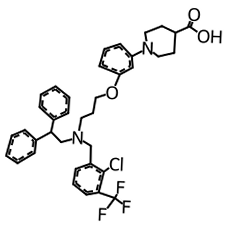 O=C(O)C1CCN(c2cccc(OCCCN(Cc3cccc(C(F)(F)F)c3Cl)CC(c3ccccc3)c3ccccc3)c2)CC1